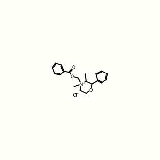 CC1C(c2ccccc2)OCC[N+]1(C)COC(=O)c1ccccc1.[Cl-]